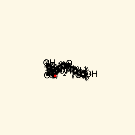 N[C@@H](Cc1cc(I)c(Oc2cc(I)c(O)c(I)c2)c(I)c1)C(=O)N1CCN(Cc2c(O)ccc3c2Oc2cc(O)ccc2C32OC(=O)c3ccccc32)CC1